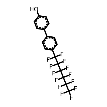 Oc1ccc(-c2ccc(C(F)(F)C(F)(F)C(F)(F)C(F)(F)C(F)(F)C(F)(F)F)cc2)cc1